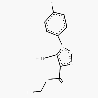 CCOC(=O)c1nnn(-c2ccc(F)cc2)c1N